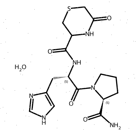 NC(=O)[C@@H]1CCCN1C(=O)[C@H](Cc1c[nH]cn1)NC(=O)C1CSCC(=O)N1.O